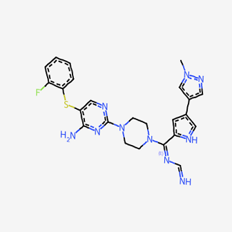 Cn1cc(-c2c[nH]c(/C(=N\C=N)N3CCN(c4ncc(Sc5ccccc5F)c(N)n4)CC3)c2)cn1